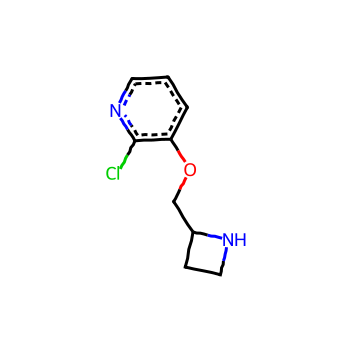 Clc1ncccc1OCC1CCN1